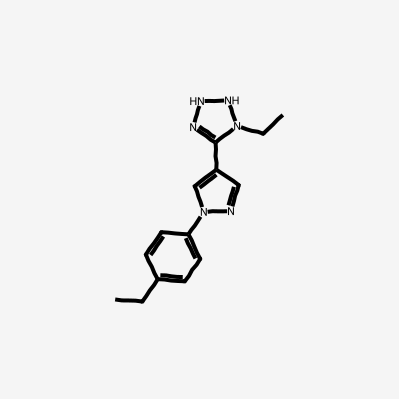 CCc1ccc(-n2cc(C3=NNNN3CC)cn2)cc1